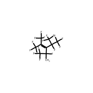 CC(F)(C(=C(C(F)(F)F)C(F)(F)F)C(F)(C(F)(F)F)C(F)(F)F)C(F)(F)F